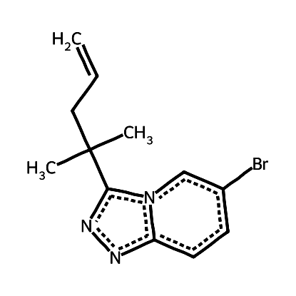 C=CCC(C)(C)c1nnc2ccc(Br)cn12